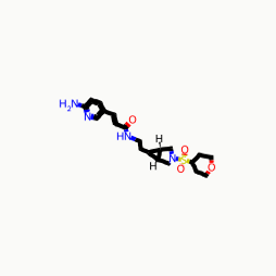 Nc1ccc(/C=C/C(=O)NCCC2[C@H]3CN(S(=O)(=O)C4CCOCC4)C[C@@H]23)cn1